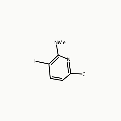 CNc1nc(Cl)ccc1I